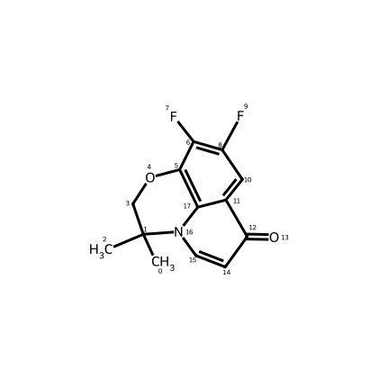 CC1(C)COc2c(F)c(F)cc3c(=O)ccn1c23